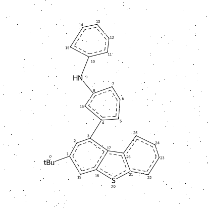 CC(C)(C)c1cc(-c2cccc(Nc3ccccc3)c2)c2c(c1)sc1ccccc12